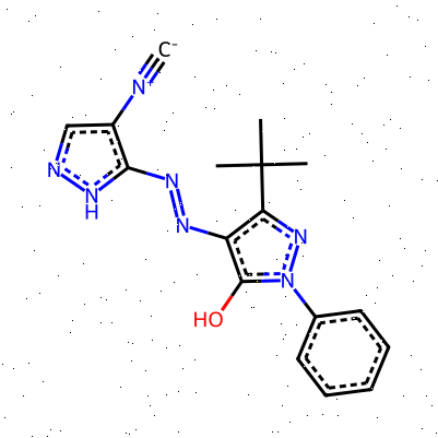 [C-]#[N+]c1cn[nH]c1/N=N/c1c(C(C)(C)C)nn(-c2ccccc2)c1O